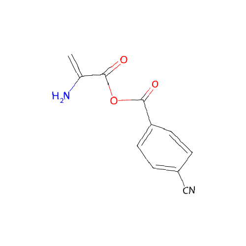 C=C(N)C(=O)OC(=O)c1ccc(C#N)cc1